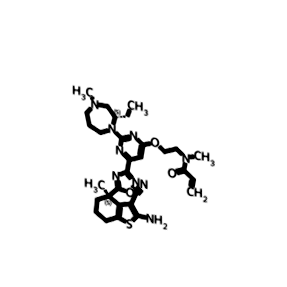 C=CC(=O)N(C)CCOc1cc(-c2noc([C@@]3(C)CCCc4sc(N)c(C#N)c43)n2)nc(N2CCCN(C)C[C@@H]2CC)n1